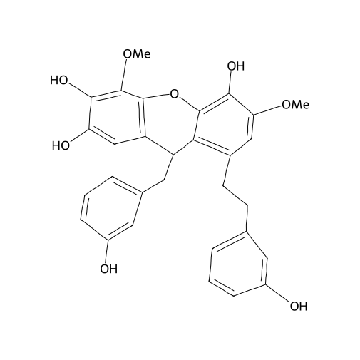 COc1cc(CCc2cccc(O)c2)c2c(c1O)Oc1c(cc(O)c(O)c1OC)C2Cc1cccc(O)c1